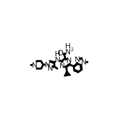 Cc1nn(C2CCN(C)CC2)cc1Nc1nc(C2CC2)c(-c2cccc3c2ncn3C)nc1C(N)=O